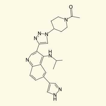 CC(=O)N1CCC(n2cc(-c3cnc4ccc(-c5cn[nH]c5)cc4c3NC(C)C)nn2)CC1